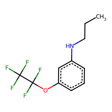 CCCNc1cccc(OC(F)(F)C(F)(F)F)c1